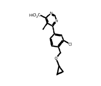 Cc1c(C(=O)O)ncnc1-c1ccc(COC2CC2)c(Cl)c1